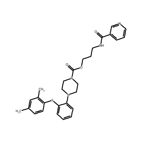 Cc1ccc(Sc2ccccc2N2CCN(C(=O)OCCCNC(=O)c3cccnc3)CC2)c(C)c1